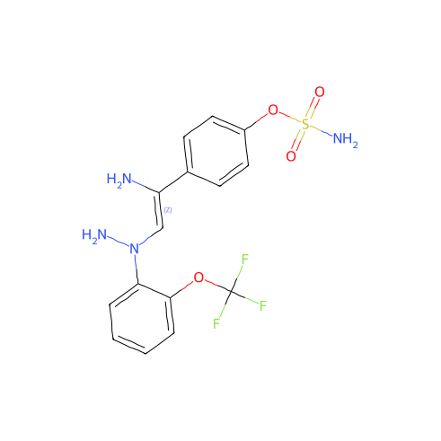 N/C(=C\N(N)c1ccccc1OC(F)(F)F)c1ccc(OS(N)(=O)=O)cc1